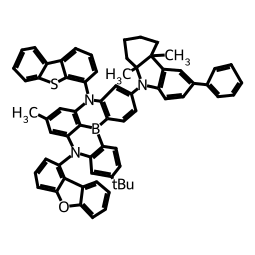 Cc1cc2c3c(c1)N(c1cccc4oc5ccccc5c14)c1cc(C(C)(C)C)ccc1B3c1ccc(N3c4ccc(-c5ccccc5)cc4C4(C)CCCCC34C)cc1N2c1cccc2c1sc1ccccc12